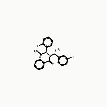 C[C@H](c1cccc(Cl)c1)N(C(=O)c1ccccc1)[C@@H](C(N)=O)c1ccccc1F